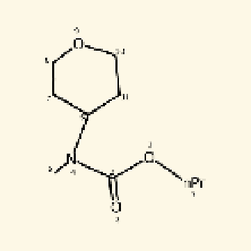 CCCOC(=O)N(C)C1CCOCC1